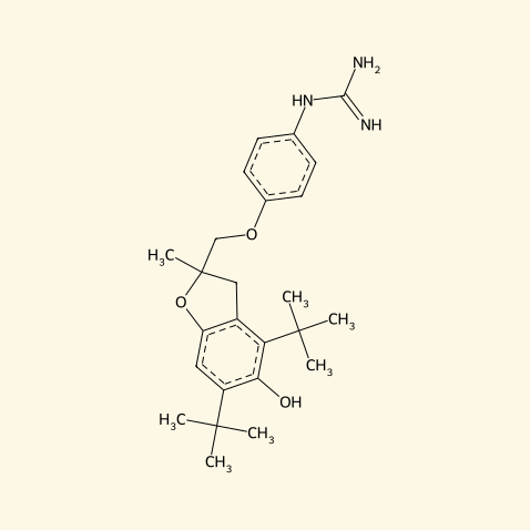 CC1(COc2ccc(NC(=N)N)cc2)Cc2c(cc(C(C)(C)C)c(O)c2C(C)(C)C)O1